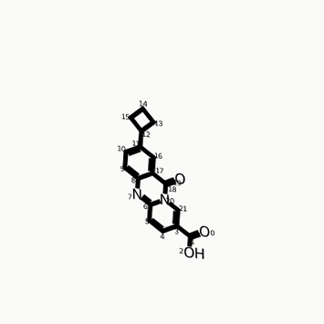 O=C(O)c1ccc2nc3ccc(C4CCC4)cc3c(=O)n2c1